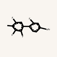 CCCc1ccc(-c2cc(F)c(C)c(F)c2F)c(F)c1